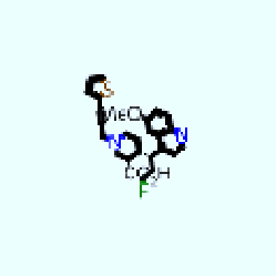 COc1ccc2nccc(C(CCF)[C@H]3CCN(CC#Cc4cccs4)C[C@@H]3C(=O)O)c2c1